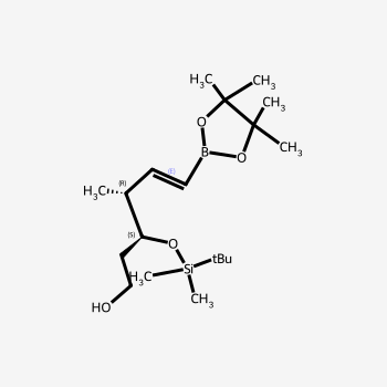 C[C@H](/C=C/B1OC(C)(C)C(C)(C)O1)[C@H](CCO)O[Si](C)(C)C(C)(C)C